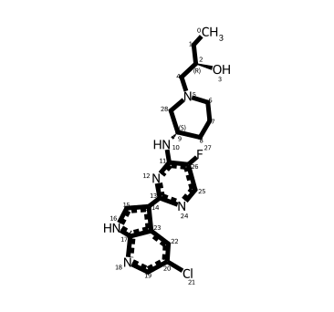 CC[C@@H](O)CN1CCC[C@H](Nc2nc(-c3c[nH]c4ncc(Cl)cc34)ncc2F)C1